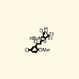 CCCCN1C(=CC(=O)c2cc(Cl)ccc2OC)SC2=C1C(=O)NC2(CC)CC